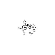 Cc1cc(N2c3ccc(-c4cc(-c5ccccc5)c5ccc6c(-c7ccccc7)cc(-c7ccccc7)c7ccc4c5c67)cc3C3(C)CCCCC23C)ccn1